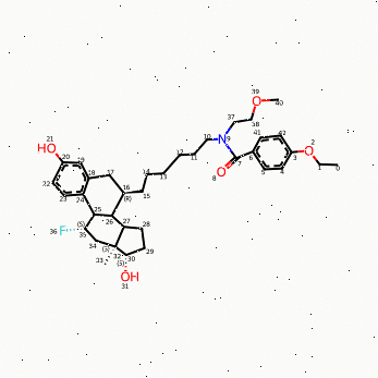 CCOc1ccc(C(=O)N(CCCCCC[C@@H]2Cc3cc(O)ccc3C3C2C2CC[C@H](O)[C@@]2(C)C[C@@H]3F)CCOC)cc1